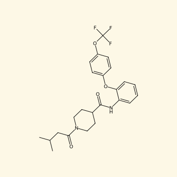 CC(C)CC(=O)N1CCC(C(=O)Nc2ccccc2Oc2ccc(OC(F)(F)F)cc2)CC1